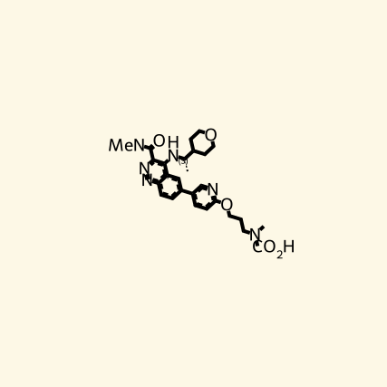 CNC(=O)c1nnc2ccc(-c3ccc(OCCCN(C)C(=O)O)nc3)cc2c1N[C@@H](C)C1CCOCC1